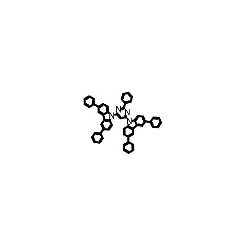 c1ccc(-c2ccc3c(c2)c2cc(-c4ccccc4)ccc2n3-c2cc(-n3c4ccc(-c5ccccc5)cc4c4cc(-c5ccccc5)ccc43)nc(-c3ccccc3)n2)cc1